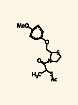 COc1ccc(OCC2SCCN2C(=O)C(C)SC(C)=O)cc1